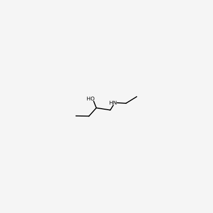 CCNCC(O)CC